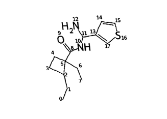 CCC1CCC1(CC)C(=O)NC(N)c1ccsc1